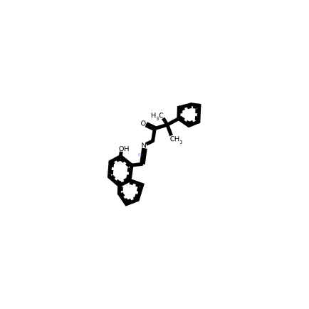 CC(C)(C(=O)C/N=C/c1c(O)ccc2ccccc12)c1ccccc1